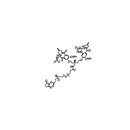 C=C1C[C@@H]2C(O[SH](=O)=O)Nc3cc(OCCP(=O)(CCOc4cc5c(cc4OC)C(=O)N4CC(=C)C[C@H]4C(O[SH](=O)=O)N5)CNC(=O)CCC(C)(C)SSCCS(=O)(=O)CCC(=O)ON4C(=O)CCC4=O)c(OC)cc3C(=O)N2C1